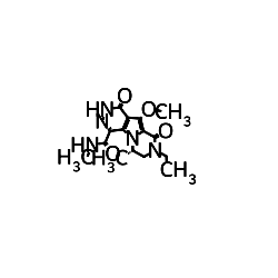 CCN1C[C@H](C)n2c(c(OC)c3c(=O)[nH]nc(C(=O)NC)c32)C1=O